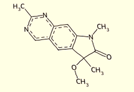 COC1(C)C(=O)N(C)c2cc3nc(C)ncc3cc21